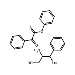 NC(CO)C(O)c1ccccc1.O=C(Oc1ccccc1)C(=O)c1ccccc1